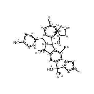 Cn1cnc(C(O)(c2cc(F)c3c(c2)C(=O)N(Cc2ccc(C#N)cn2)[C@@]3(O[C@H]2CCOC2)c2ccc(Cl)cc2)C(F)(F)F)c1